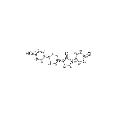 O=C1[C@H](N2CCC(c3ccc(O)cc3)CC2)CCN1c1ccc(Cl)cc1